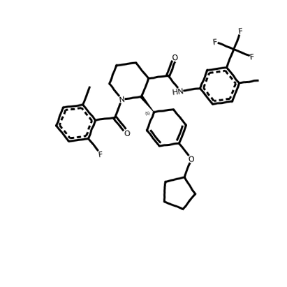 Cc1ccc(NC(=O)C2CCCN(C(=O)c3c(C)cccc3F)C2[C@@H]2C=CC(OC3CCCC3)=CC2)cc1C(F)(F)F